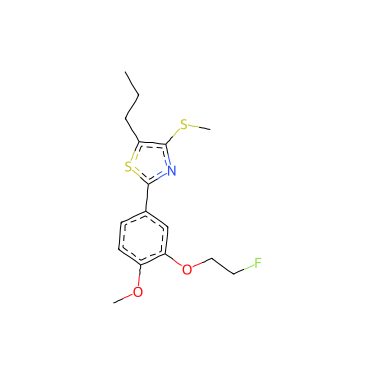 CCCc1sc(-c2ccc(OC)c(OCCF)c2)nc1SC